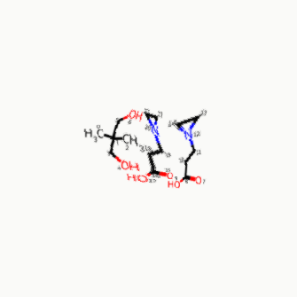 CC(C)(CO)CO.O=C(O)CCN1CC1.O=C(O)CCN1CC1